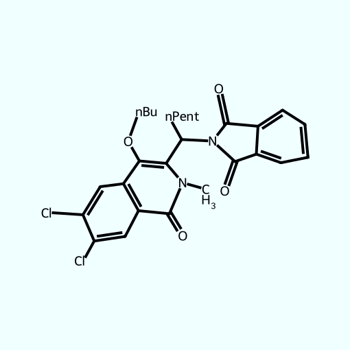 CCCCCC(c1c(OCCCC)c2cc(Cl)c(Cl)cc2c(=O)n1C)N1C(=O)c2ccccc2C1=O